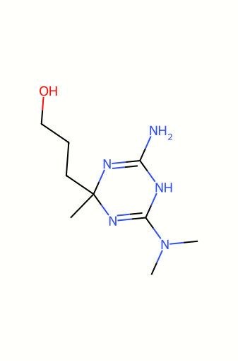 CN(C)C1=NC(C)(CCCO)N=C(N)N1